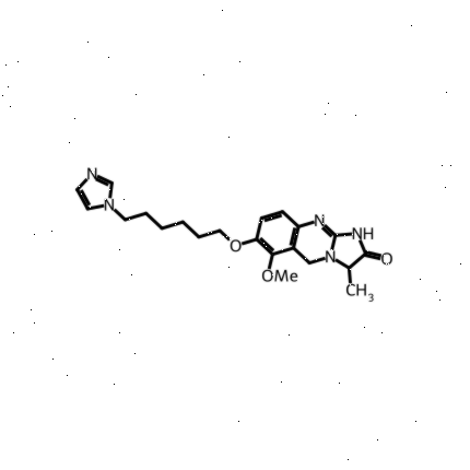 COc1c(OCCCCCCn2ccnc2)ccc2c1CN1C(=N2)NC(=O)C1C